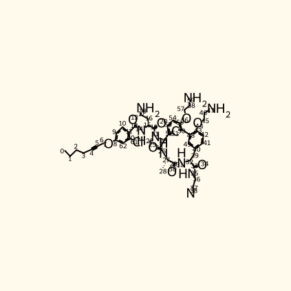 CCCCC#CCOc1ccc(C(=O)N[C@@H](CCN)C(=O)N(C)[C@@H]2C(=O)N[C@@H](C)C(=O)N[C@H](C(=O)NCC#N)Cc3ccc(OCCN)c(c3)-c3cc2ccc3OCCN)c(Cl)c1